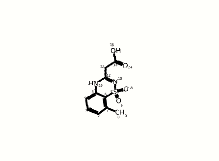 Cc1cccc2c1S(=O)(=O)N=C(CC(=O)O)N2